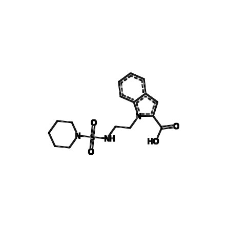 O=C(O)c1cc2ccccc2n1CCNS(=O)(=O)N1CCCCC1